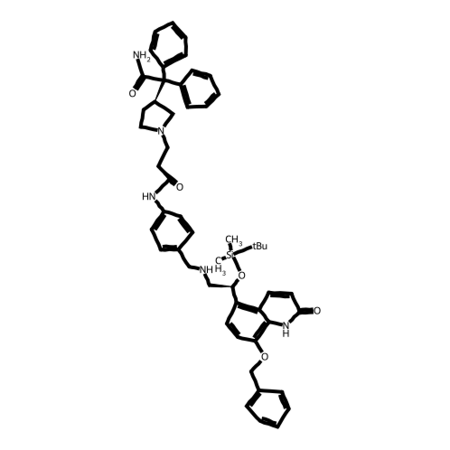 CC(C)(C)[Si](C)(C)O[C@H](CNCc1ccc(NC(=O)CCN2CC[C@@H](C(C(N)=O)(c3ccccc3)c3ccccc3)C2)cc1)c1ccc(OCc2ccccc2)c2[nH]c(=O)ccc12